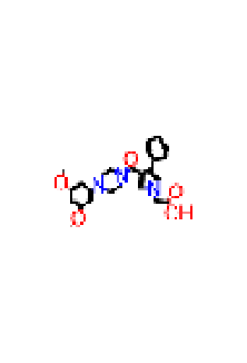 COc1cc(OC)cc(N2CCN(C(=O)c3cn(CC(=O)O)cc3-c3ccccc3)CC2)c1